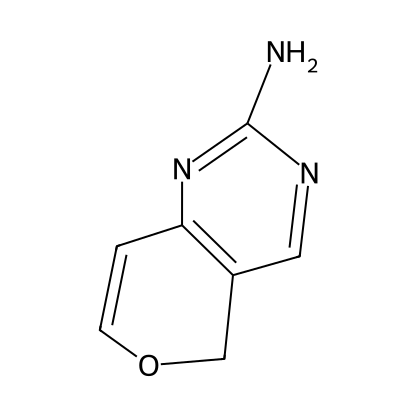 Nc1ncc2c(n1)C=COC2